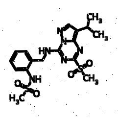 CC(C)c1cnn2c(NCc3ccccc3NS(C)(=O)=O)nc(S(C)(=O)=O)nc12